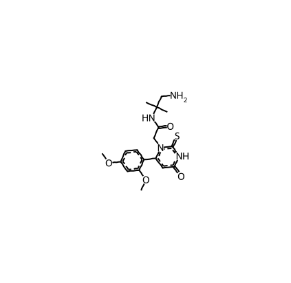 COc1ccc(-c2cc(=O)[nH]c(=S)n2CC(=O)NC(C)(C)CN)c(OC)c1